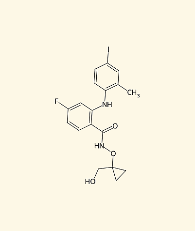 Cc1cc(I)ccc1Nc1cc(F)ccc1C(=O)NOC1(CO)CC1